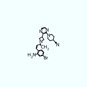 C=C(/C=C\c1ccc(Br)cc1N)N1CC(c2nccnc2N2CCC(C#N)CC2)C1